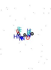 O=C(NCc1ccccc1C(F)(F)F)c1cccc(-c2cc(Nc3ccc(OC(F)(F)F)cc3)ncn2)c1